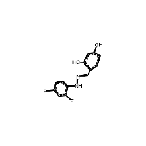 Oc1ccc(/C=N/Nc2ccc(F)cc2F)c(O)c1